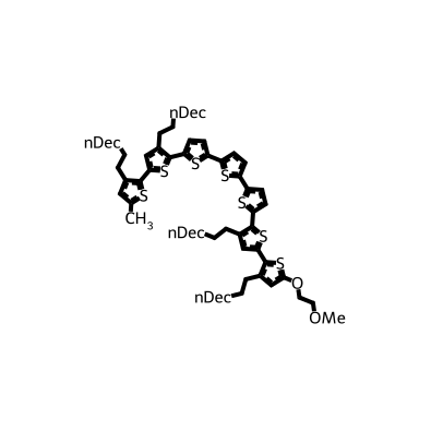 CCCCCCCCCCCCc1cc(C)sc1-c1cc(CCCCCCCCCCCC)c(-c2ccc(-c3ccc(-c4ccc(-c5sc(-c6sc(OCCOC)cc6CCCCCCCCCCCC)cc5CCCCCCCCCCCC)s4)s3)s2)s1